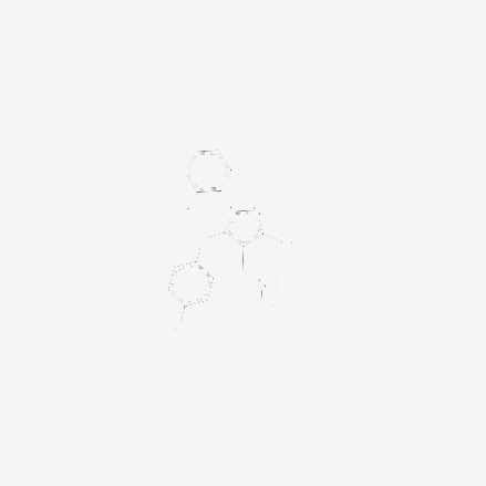 CC(C)NCc1c(C(=O)O)nn(-c2ccccc2Cl)c1Oc1ccc(Cl)cc1